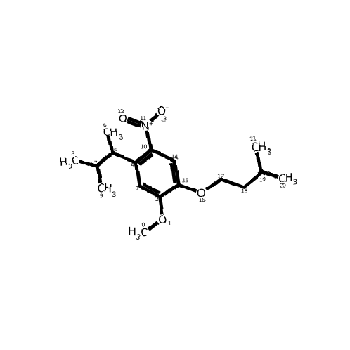 COc1cc(C(C)C(C)C)c([N+](=O)[O-])cc1OCCC(C)C